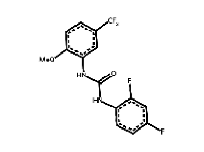 COc1ccc(C(F)(F)F)cc1NC(=O)Nc1ccc(F)cc1F